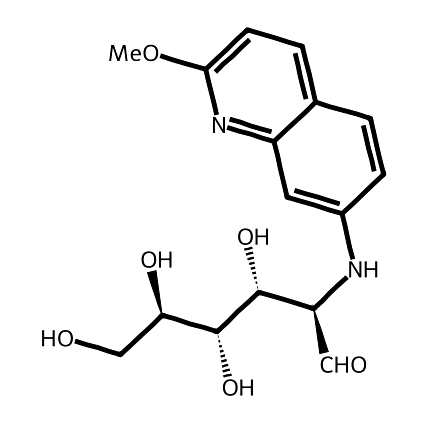 COc1ccc2ccc(N[C@@H](C=O)[C@@H](O)[C@H](O)[C@H](O)CO)cc2n1